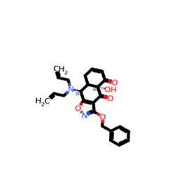 C=CCN(CC=C)[C@@H]1c2onc(OCc3ccccc3)c2C(=O)[C@]2(O)C(=O)C=CCC12